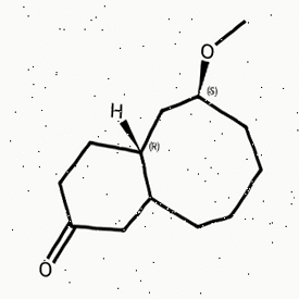 CO[C@H]1CCCCC2CC(=O)CC[C@@H]2C1